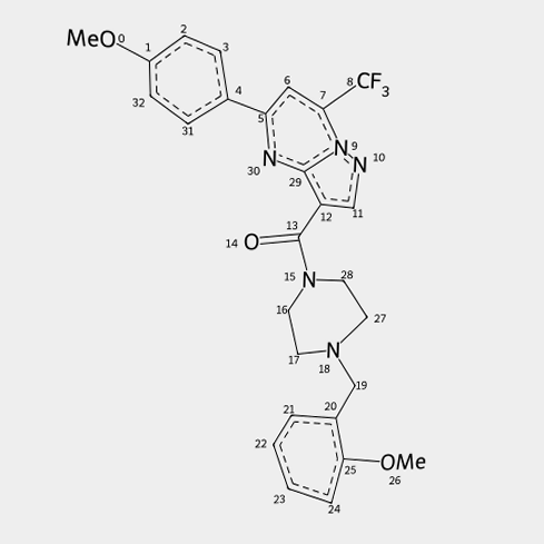 COc1ccc(-c2cc(C(F)(F)F)n3ncc(C(=O)N4CCN(Cc5ccccc5OC)CC4)c3n2)cc1